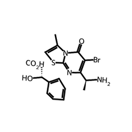 Cc1csc2nc([C@H](C)N)c(Br)c(=O)n12.O=C(O)[C@@H](O)c1ccccc1